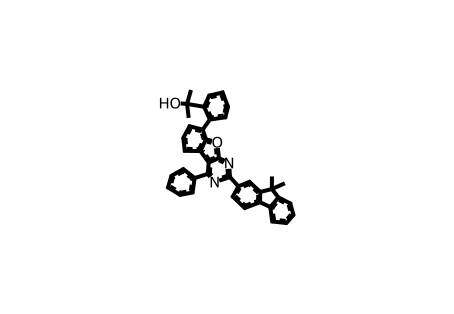 CC(C)(O)c1ccccc1-c1cccc2c1oc1nc(-c3ccc4c(c3)C(C)(C)c3ccccc3-4)nc(-c3ccccc3)c12